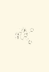 CC(C)c1cc(-c2nnc(O)n2-c2ccc3c(ccn3C)c2)c(OCc2ccccc2)cc1OCc1ccccc1